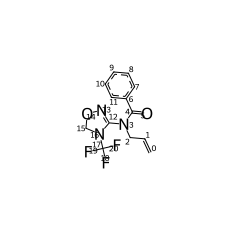 C=CCN(C(=O)c1ccccc1)C1=NOCN1C(F)(F)F